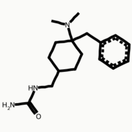 CN(C)C1(Cc2ccccc2)CCC(CNC(N)=O)CC1